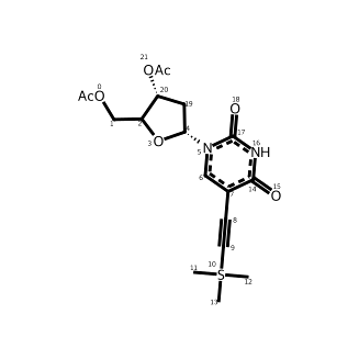 CC(=O)OCC1O[C@@H](n2cc(C#CS(C)(C)C)c(=O)[nH]c2=O)C[C@H]1OC(C)=O